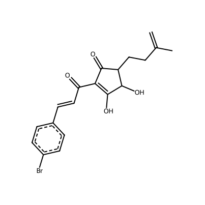 C=C(C)CCC1C(=O)C(C(=O)C=Cc2ccc(Br)cc2)=C(O)C1O